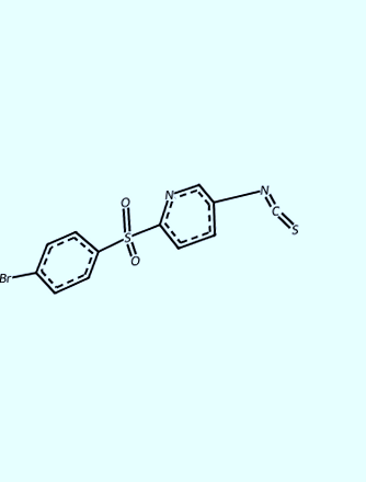 O=S(=O)(c1ccc(Br)cc1)c1ccc(N=C=S)cn1